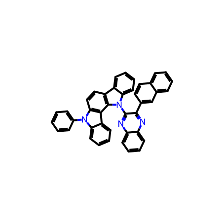 c1ccc(-n2c3ccccc3c3c2ccc2c4ccccc4n(-c4nc5ccccc5nc4-c4ccc5ccccc5c4)c23)cc1